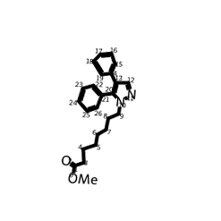 COC(=O)CCCCCCCn1ncc(-c2ccccc2)c1-c1ccccc1